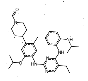 CCc1cnc(Nc2cc(C)c(C3CCN(C=O)CC3)cc2OC(C)C)nc1Nc1ccccc1NC(C)C